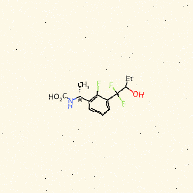 CCC(O)C(F)(F)c1cccc([C@@H](C)NC(=O)O)c1F